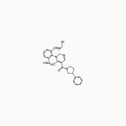 COc1cccc(OC)c1N1C(O)=C(C(=O)N2CCC(c3ccccc3)C2)C=N[C@H]1CCC(C)C